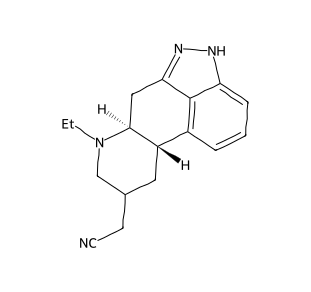 CCN1CC(CC#N)C[C@H]2c3cccc4[nH]nc(c34)C[C@@H]21